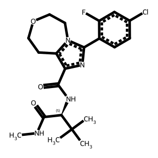 CNC(=O)[C@@H](NC(=O)c1nc(-c2ccc(Cl)cc2F)n2c1CCOCC2)C(C)(C)C